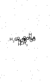 C=CC(=O)NC1CCN(S(=O)(=O)c2ccc(NC(=O)c3ccco3)cc2)CC1C